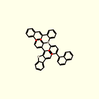 c1ccc(N(c2ccc(-c3cccc4ccccc34)cc2)c2ccccc2-c2cccc3c2oc2ccccc23)c(-c2ccc3ccccc3c2)c1